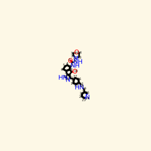 O=C(Nc1cccc2c1C(=O)c1c(-c3ccc(CNCc4cccnc4)cc3)n[nH]c1-2)NN1CCOCC1